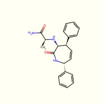 C[C@H](N[C@@H]1C(=O)N[C@@H](c2ccccc2)C=C[C@@H]1c1ccccc1)C(N)=O